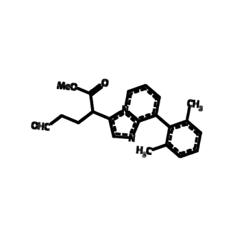 COC(=O)C(CCC=O)c1cnc2c(-c3c(C)cccc3C)cccn12